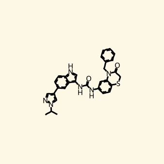 CC(C)n1cc(-c2ccc3[nH]cc(NC(=O)Nc4ccc5c(c4)N(Cc4ccccc4)C(=O)CS5)c3c2)cn1